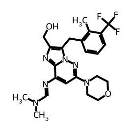 Cc1c(Cc2c(CO)nc3c(/N=C/N(C)C)cc(N4CCOCC4)nn23)cccc1C(F)(F)F